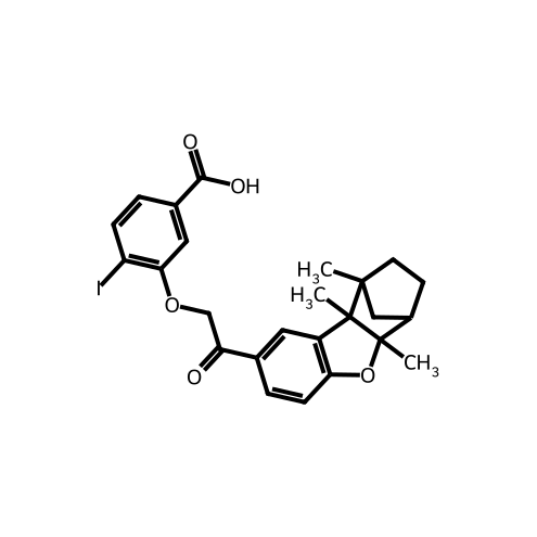 CC12CCC(C1)C1(C)Oc3ccc(C(=O)COc4cc(C(=O)O)ccc4I)cc3C21C